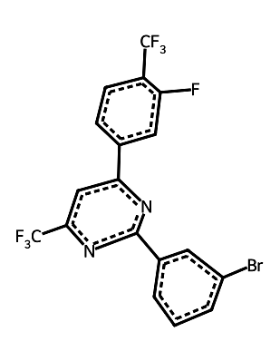 Fc1cc(-c2cc(C(F)(F)F)nc(-c3cccc(Br)c3)n2)ccc1C(F)(F)F